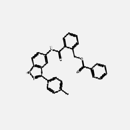 O=C(OCc1ccccc1C(=O)Nc1ccc2[nH]nc(-c3ccc(F)cc3)c2c1)c1ccccc1